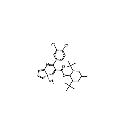 CC1CC(C(C)(C)C)C(OC(=O)C2=C[N+]3(N)C=CC=C3N=C2c2ccc(Cl)c(Cl)c2)C(C(C)(C)C)C1